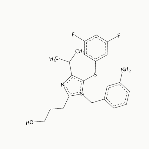 CC(C)c1nc(CCCO)n(Cc2cccc(N)c2)c1Sc1cc(F)cc(F)c1